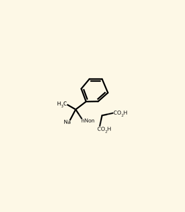 CCCCCCCCC[C](C)([Na])c1ccccc1.O=C(O)CC(=O)O